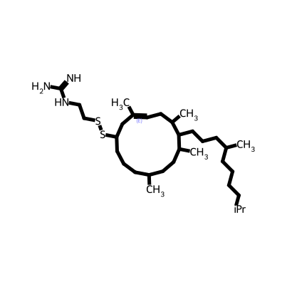 C/C1=C\CC(C)C(CCCC(C)CCCCC(C)C)C(C)CCC(C)CCCC(SSCCNC(=N)N)C1